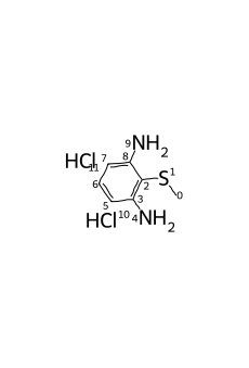 CSc1c(N)cccc1N.Cl.Cl